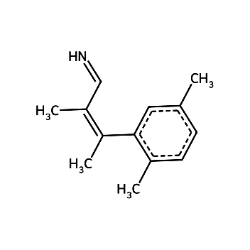 C/C(C=N)=C(\C)c1cc(C)ccc1C